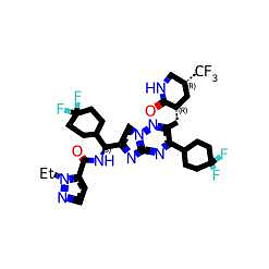 CCn1nccc1C(=O)N[C@H](c1cn2nc(C[C@H]3C[C@@H](C(F)(F)F)CNC3=O)c(C3CCC(F)(F)CC3)nc2n1)C1CCC(F)(F)CC1